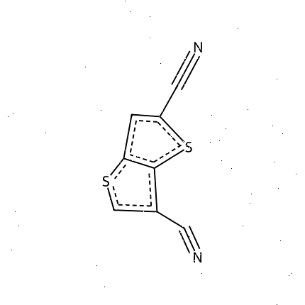 N#Cc1cc2scc(C#N)c2s1